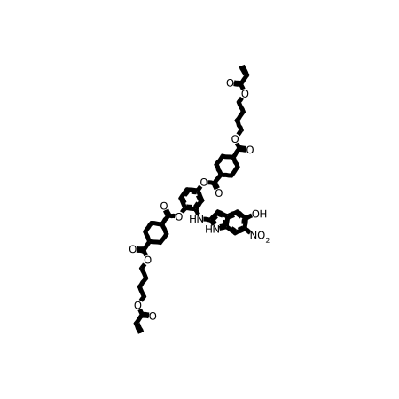 C=CC(=O)OCCCCOC(=O)C1CCC(C(=O)Oc2ccc(OC(=O)C3CCC(C(=O)OCCCCOC(=O)C=C)CC3)c(Nc3cc4cc(O)c([N+](=O)[O-])cc4[nH]3)c2)CC1